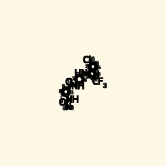 CN(C)C(=O)Nc1cccc(C(=O)N[C@H]2CC[C@@H](Nc3cc(C(F)(F)F)nc4ccc(Cl)cc34)CC2)c1